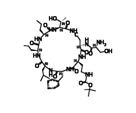 CCC[C@@H]1NC(=O)[C@H](CC(C)C)NC(=O)[C@@H](Cc2ccccc2)NC(=O)[C@H](CCNC(=O)OC(C)(C)C)NC(=O)[C@@H](NC(=O)[C@H](N)CO)CCNC(=O)[C@H]([C@@H](C)O)NC(=O)[C@H](CCC)NC1=O